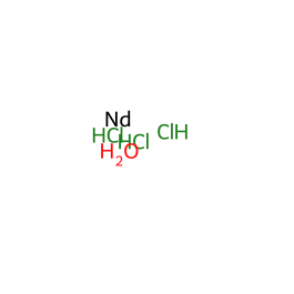 Cl.Cl.Cl.O.[Nd]